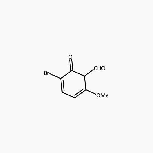 COC1=CC=C(Br)C(=O)C1C=O